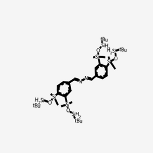 CC(C)(C)[SiH2]O[Si](C)(C)c1ccc(C=NN=Cc2ccc([Si](C)(C)O[SiH2]C(C)(C)C)c([Si](C)(C)O[SiH2]C(C)(C)C)c2)cc1[Si](C)(C)O[SiH2]C(C)(C)C